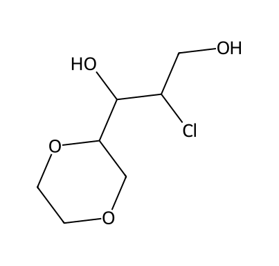 OCC(Cl)C(O)C1COCCO1